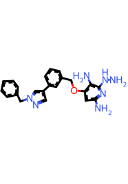 NNc1nc(N)cc(OCc2cccc(-c3cnn(Cc4ccccc4)c3)c2)c1N